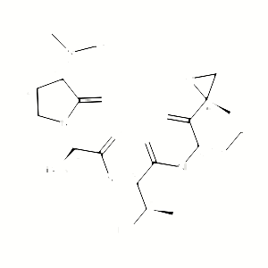 CC[C@H](C)[C@@H](C(=O)N[C@H](C(=O)N[C@@H](CC(C)C)C(=O)[C@@]1(C)CO1)[C@@H](C)O)N1C[C@H](C)[C@H](N(C)C(C)C)C1=O